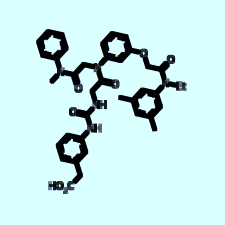 CCN(C(=O)COc1cccc(N(CC(=O)N(C)c2ccccc2)C(=O)CNC(=O)Nc2cccc(CC(=O)O)c2)c1)c1cc(C)cc(C)c1